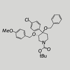 COc1ccc(CO[C@H]2CN(C(=O)OC(C)(C)C)CC[C@@]2(OCc2ccccc2)c2ccc(Cl)cc2)cc1